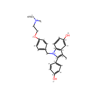 CCCCCCN(C)CCOc1ccc(Cn2c(-c3ccc(O)cc3)c(C)c3cc(O)ccc32)cc1